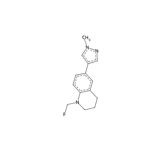 Cn1cc(-c2ccc3c(c2)CCCN3CF)cn1